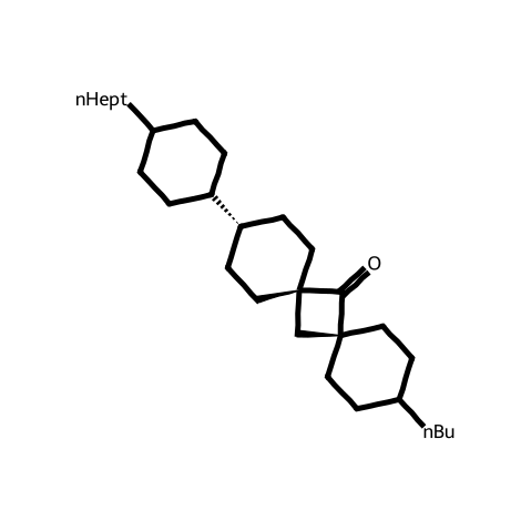 CCCCCCCC1CCC([C@H]2CC[C@]3(CC2)C[C@@]2(CCC(CCCC)CC2)C3=O)CC1